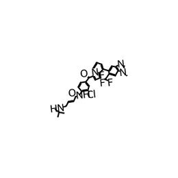 Cn1cnc2cc(-c3cccn4c(C(=O)c5ccc(NC(=O)/C=C/CNC(C)(C)C)c(Cl)c5)ccc34)c(C(F)(F)F)cc21